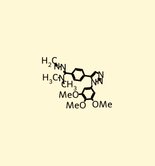 C=N/N=C(/c1ccc(-c2cnnn2-c2cc(OC)c(OC)c(OC)c2)cc1)N(C)C